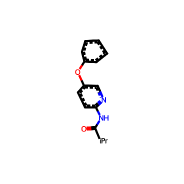 CC(C)C(=O)Nc1ccc(Oc2ccccc2)cn1